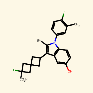 Cc1cc(-n2c(C(C)C)c(C3CC4(C3)CC(F)(C(=O)O)C4)c3cc(O)ccc32)ccc1F